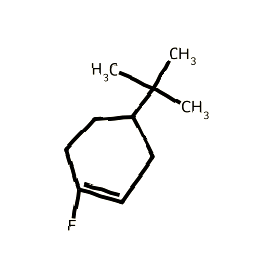 CC(C)(C)C1CC=C(F)CC1